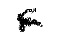 O=C(O)CCSCc1cccc(C(=O)Nc2ccc(N3CCCCC3)cc2-c2nccc(C(=O)NCc3cccc(C(F)(F)F)c3)c2F)c1